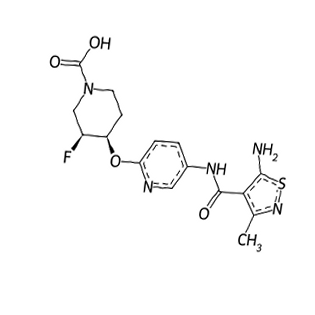 Cc1nsc(N)c1C(=O)Nc1ccc(O[C@@H]2CCN(C(=O)O)C[C@@H]2F)nc1